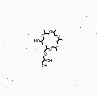 CC(O)COC(C)COC(C)COC(C)COC(C)COC(C)COCC(O)CO